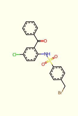 O=C(c1ccccc1)c1cc(Cl)ccc1NS(=O)(=O)c1ccc(CBr)cc1